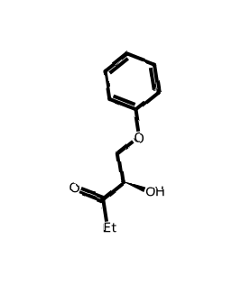 CCC(=O)[C@H](O)COc1ccccc1